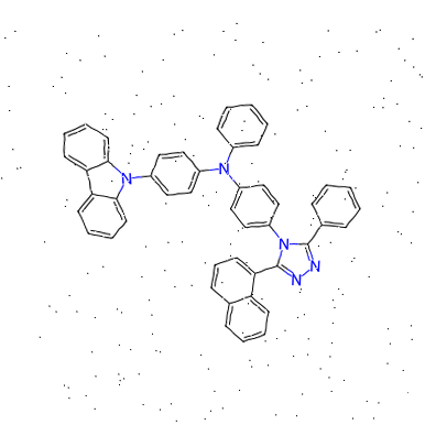 c1ccc(-c2nnc(-c3cccc4ccccc34)n2-c2ccc(N(c3ccccc3)c3ccc(-n4c5ccccc5c5ccccc54)cc3)cc2)cc1